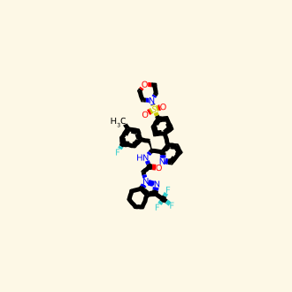 Cc1cc(F)cc(C[C@H](NC(=O)Cn2nc(C(F)(F)F)c3c2CCCC3)c2ncccc2-c2ccc(S(=O)(=O)N3CCOCC3)cc2)c1